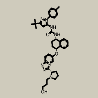 Cc1ccc(-n2nc(C(C)(C)C)cc2NC(=O)N[C@H]2CC[C@@H](Oc3ccc4nnc([C@@H]5CCCN5CCCO)n4c3)c3ccccc32)cc1